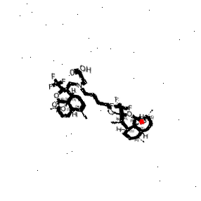 C[C@@H]1CC[C@H]2[C@@H](C)[C@](OCCCCN(CC(=O)O)CC3=C(C(F)(F)F)O[C@@H]4O[C@]5(C)CC[C@H]6[C@H](C)CC[C@@H]3[C@@]46O5)(C(F)(F)F)O[C@@H]3O[C@]4(C)CC[C@@H]1[C@]32OO4